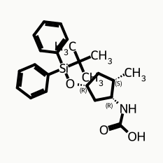 C[C@H]1C[C@@H](O[Si](c2ccccc2)(c2ccccc2)C(C)(C)C)C[C@H]1NC(=O)O